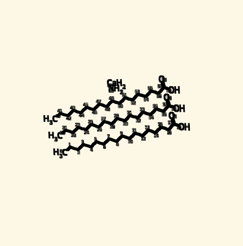 CCCCCCCCCCCCCCCCCC(=O)O.CCCCCCCCCCCCCCCCCC(=O)O.CCCCCCCCCCCCCCCCCC(=O)O.N.[CaH2]